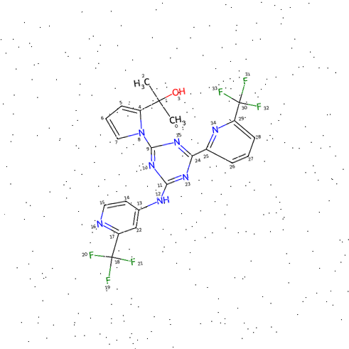 CC(C)(O)c1cccn1-c1nc(Nc2ccnc(C(F)(F)F)c2)nc(-c2cccc(C(F)(F)F)n2)n1